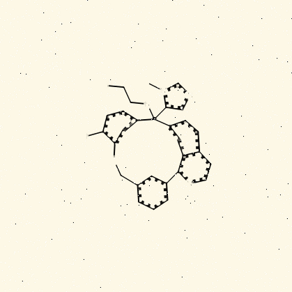 Cn1cncc1C1(NCCCl)c2ccc(Cl)c(c2)OCc2cccc(c2)-c2nccc3ccc1cc23